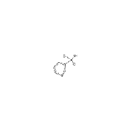 SC(Cl)(Cl)c1ccccc1